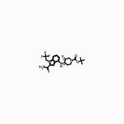 CC(C)(C)OC(=O)N1CC[C@@H](Nc2cccc3c2cc(C(N)=S)n3CC(F)(F)F)[C@@H](F)C1